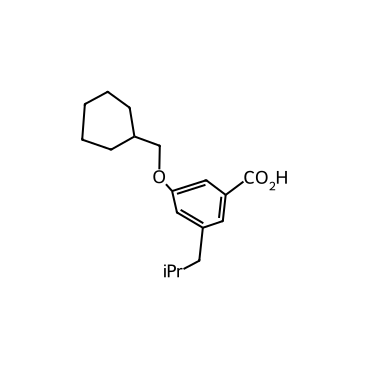 CC(C)Cc1cc(OCC2CCCCC2)cc(C(=O)O)c1